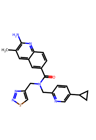 Cc1cc2cc(C(=O)N(Cc3ccc(C4CC4)cn3)Cc3csnn3)ccc2nc1N